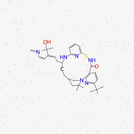 C=N/C=C\C(=C/CC1CCC2CN(c3nc(C(C)(C)C)ccc3C(=O)NSc3cccc(n3)N1)C(C)(C)C2)C(C)(C)O